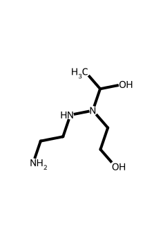 CC(O)N(CCO)NCCN